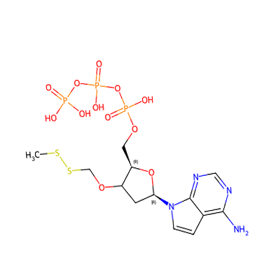 CSSCOC1C[C@H](n2ccc3c(N)ncnc32)O[C@@H]1COP(=O)(O)OP(=O)(O)OP(=O)(O)O